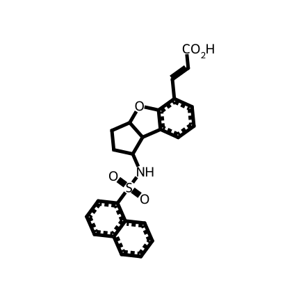 O=C(O)C=Cc1cccc2c1OC1CCC(NS(=O)(=O)c3cccc4ccccc34)C21